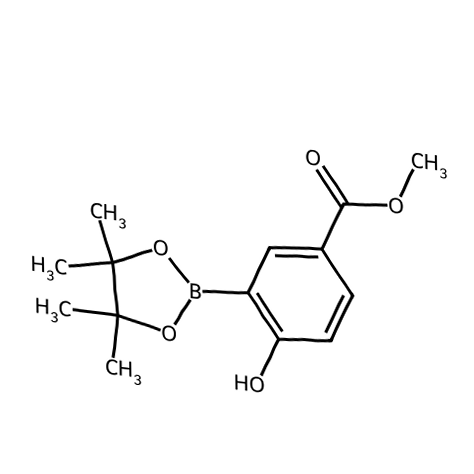 COC(=O)c1ccc(O)c(B2OC(C)(C)C(C)(C)O2)c1